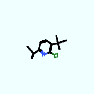 CC(C)c1ccc(C(C)(C)C)c(Cl)n1